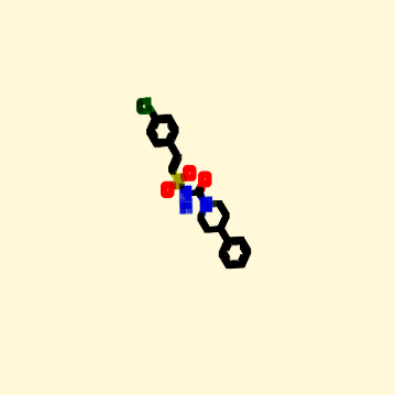 O=C(NS(=O)(=O)C=Cc1ccc(Cl)cc1)N1CCC(c2ccccc2)CC1